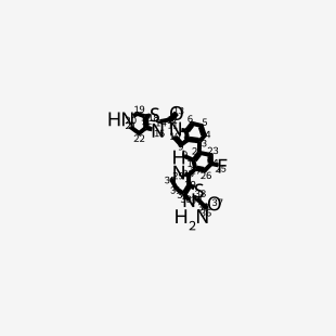 Cc1c(-c2cccc3c2ccn3C(=O)c2nc3c(s2)CNCC3)cc(F)cc1C1NCCc2nc(C(N)=O)sc21